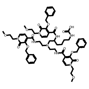 COCCn1ccc(C(=O)NCCN(CCNC(=O)c2ccn(CCOC)c(=O)c2OCc2ccccc2)CC(CCCCNC(=O)O)NC(=O)c2ccn(CCOC)c(=O)c2OCc2ccccc2)c(OCc2ccccc2)c1=O